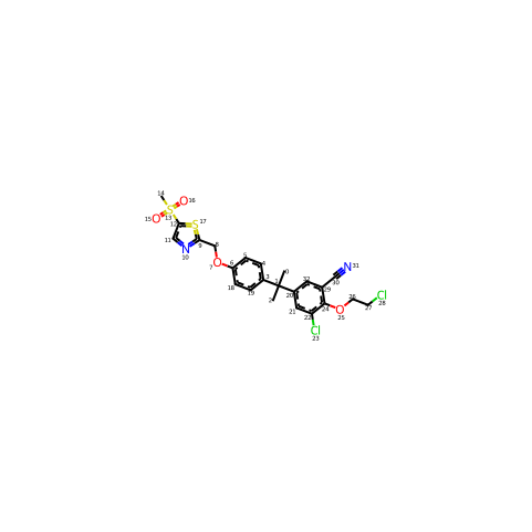 CC(C)(c1ccc(OCc2ncc(S(C)(=O)=O)s2)cc1)c1cc(Cl)c(OCCCl)c(C#N)c1